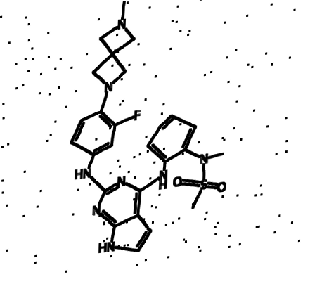 CN1CC2(C1)CN(c1ccc(Nc3nc(Nc4ccccc4N(C)S(C)(=O)=O)c4cc[nH]c4n3)cc1F)C2